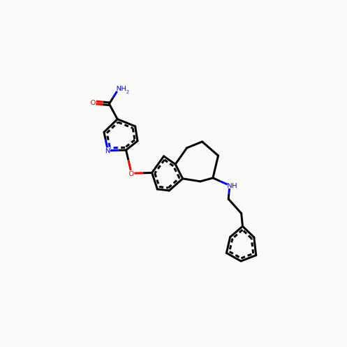 NC(=O)c1ccc(Oc2ccc3c(c2)CCCC(NCCc2ccccc2)C3)nc1